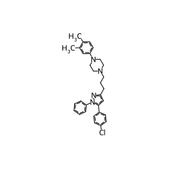 Cc1ccc(N2CCN(CCCc3cc(-c4ccc(Cl)cc4)n(-c4ccccc4)n3)CC2)cc1C